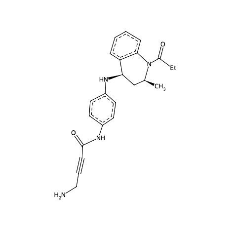 CCC(=O)N1c2ccccc2[C@H](Nc2ccc(NC(=O)C#CCN)cc2)C[C@@H]1C